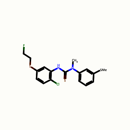 CSc1cccc(N(C)C(=S)Nc2cc(SCCF)ccc2Cl)c1